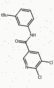 CC(C)(C)c1cccc(NC(=O)c2cnc(Cl)c(Cl)c2)c1